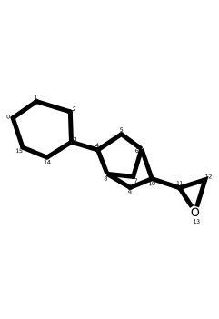 C1CCC(C2CC3CC2CC3C2CO2)CC1